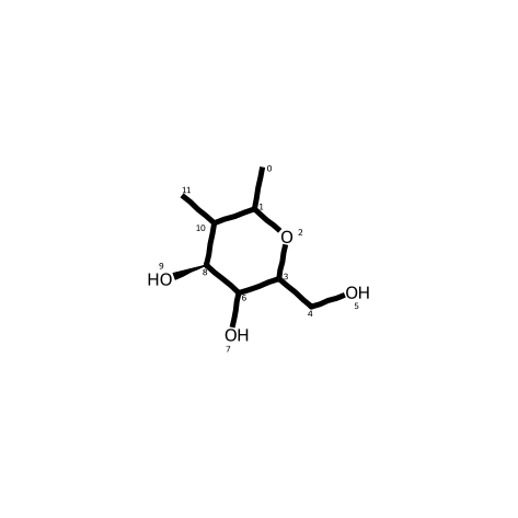 CC1OC(CO)C(O)[C@@H](O)C1C